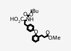 COC(=O)CCc1ccccc1Oc1ccc(C[C@H](NC(=O)OC(C)(C)C)C(=O)O)cc1